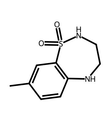 Cc1ccc2c(c1)S(=O)(=O)NCCN2